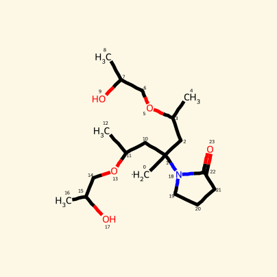 [CH2]C(CC(C)OCC(C)O)(CC(C)OCC(C)O)N1CCCC1=O